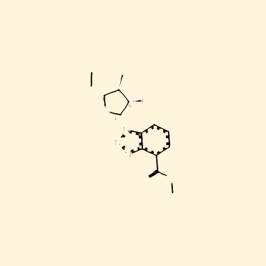 CC[C@H]1O[C@@H](n2nnc3c(C(=O)OC)cccc32)[C@H](F)[C@@H]1C